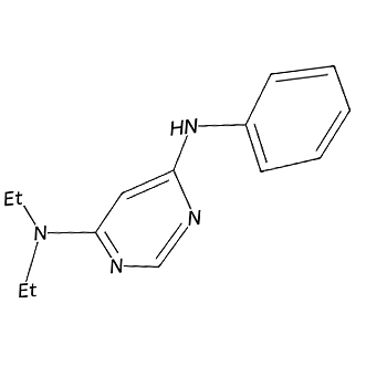 CCN(CC)c1cc(Nc2ccccc2)ncn1